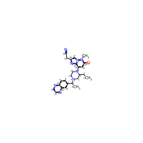 CCC1CN(C(C)c2ccc3nccnc3c2)CCN1c1cc(=O)n(C)n2cc(CC#N)nc12